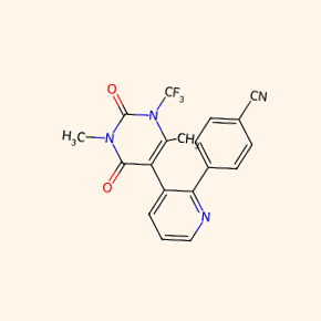 Cc1c(-c2cccnc2-c2ccc(C#N)cc2)c(=O)n(C)c(=O)n1C(F)(F)F